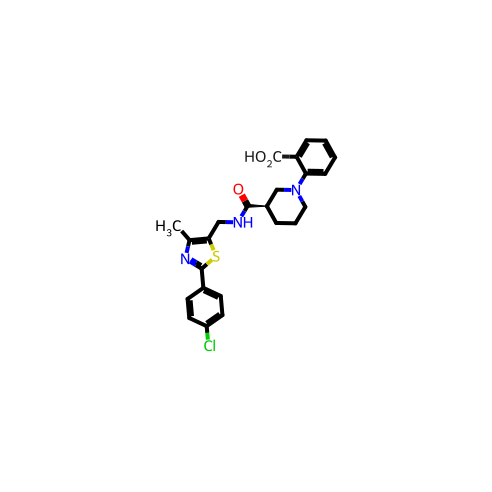 Cc1nc(-c2ccc(Cl)cc2)sc1CNC(=O)[C@@H]1CCCN(c2ccccc2C(=O)O)C1